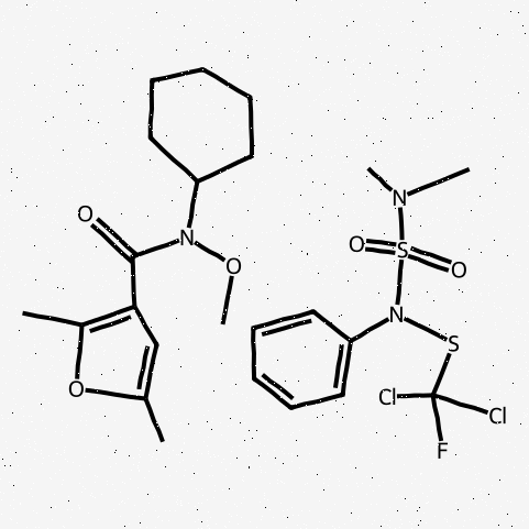 CN(C)S(=O)(=O)N(SC(F)(Cl)Cl)c1ccccc1.CON(C(=O)c1cc(C)oc1C)C1CCCCC1